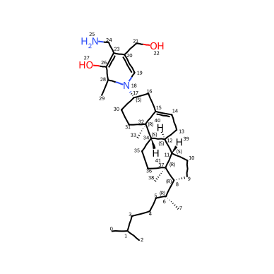 CC(C)CCC[C@@H](C)[C@H]1CC[C@H]2[C@@H]3CC=C4C[C@@H](N5C=C(CO)C(CN)=C(O)C5C)CC[C@]4(C)[C@H]3CC[C@]12C